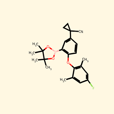 Cc1cc(F)cc(C)c1Oc1ccc(C2(C#N)CC2)cc1B1OC(C)(C)C(C)(C)O1